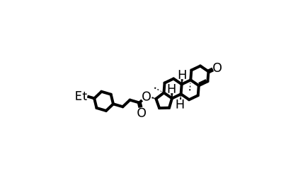 CCC1CCC(CCC(=O)O[C@H]2CC[C@H]3[C@@H]4CCC5=CC(=O)CC[C@]5(C)[C@H]4CC[C@]23C)CC1